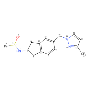 CC(C)[S+]([O-])N[C@H]1Cc2ccc(Cn3ccc(C(F)(F)F)n3)cc2C1